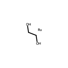 OCCO.[Ru]